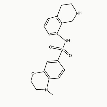 CN1CCOc2cc(S(=O)(=O)Nc3cccc4c3CNCC4)ccc21